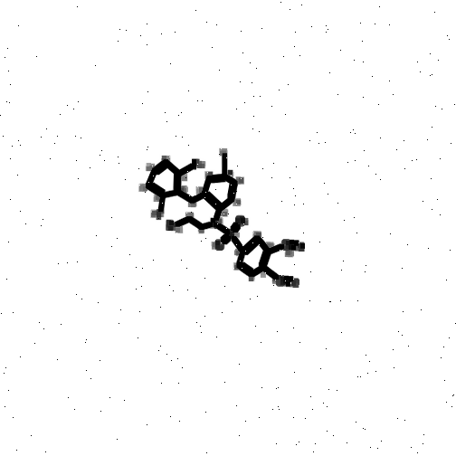 COc1ccc(S(=O)(=O)N(CCBr)c2ccc(C)cc2Cc2c(F)cccc2F)cc1OC